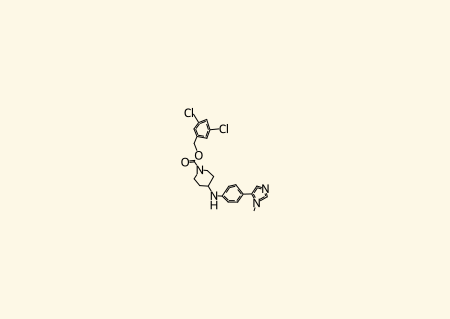 Cn1cncc1-c1ccc(NC2CCN(C(=O)OCc3cc(Cl)cc(Cl)c3)CC2)cc1